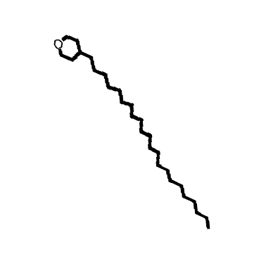 CCCCCCCCCCCCCCCCCCCCCCC1CCOCC1